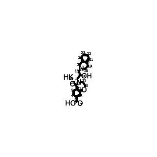 O=C(O)c1ccc2c(c1)OCCN(C[C@H](O)CN1CCc3ccccc3C1)C2=O.[KH]